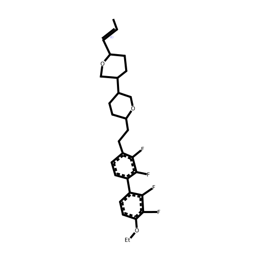 C/C=C/C1CCC(C2CCC(CCc3ccc(-c4ccc(OCC)c(F)c4F)c(F)c3F)OC2)CO1